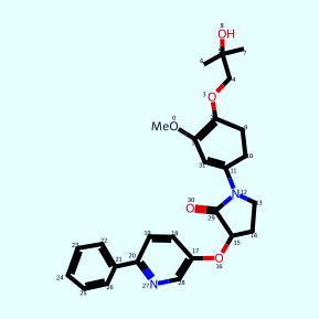 COC1=C(OCC(C)(C)O)CCC(N2CCC(Oc3ccc(-c4ccccc4)nc3)C2=O)=C1